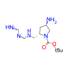 CC(C)(C)OC(=O)N1C[C@H](N)C[C@H]1CN/C=N\C=N